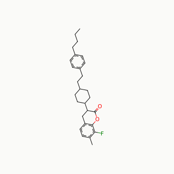 CCCCc1ccc(CCC2CCC(C3Cc4ccc(C)c(F)c4OC3=O)CC2)cc1